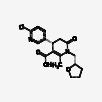 CC1=C(C(=O)O)[C@H](c2ccc(Cl)nc2)CC(=O)N1C[C@@H]1CCCO1